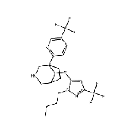 CCCCn1nc(C(F)(F)F)cc1OC1C2CCC1(c1ccc(C(F)(F)F)cn1)CNC2